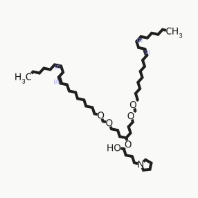 CCCCC/C=C\C/C=C\CCCCCCCCOCOCCCC(CCCOCOCCCCCCCC/C=C\C/C=C\CCCCC)OC(O)CCCN1CCCC1